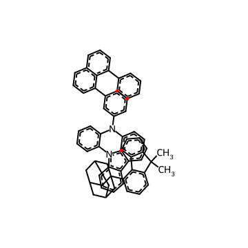 CC1(C)c2ccc(N(c3cccc(-c4cccc5cccc(-c6ccccc6)c45)c3)c3ccccc3-n3c4ccccc4c4ccccc43)cc2-c2c(C34CC5CC(CC(C5)C3)C4)cccc21